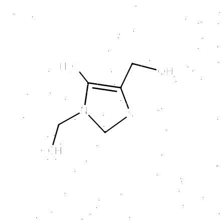 CCN1CSC(CO)=C1C